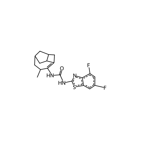 CC1CC2CC3CC(=C1NC(=O)Nc1nc4c(F)cc(F)cc4s1)C3C2